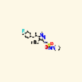 CCCCc1c(/C=C/S(=O)(=O)NN2CCCCC2)nn(C)c1C(C)CC1=CC(C)C(C)(F)C=C1